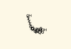 O=C(O)N1C(=O)CCC(N2CCN(c3ccc(OCCCCCCCCO)cc3)C2=O)C1=O